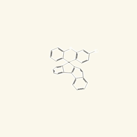 Clc1ccc2c(c1)Sc1ccccc1C21c2ccccc2-c2c1ccc1ccccc21